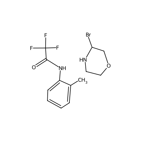 BrC1COCCN1.Cc1ccccc1NC(=O)C(F)(F)F